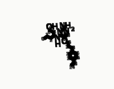 CCCC(CCO)Nc1nc(N)ncc1OCCCc1ccc(CC)cc1